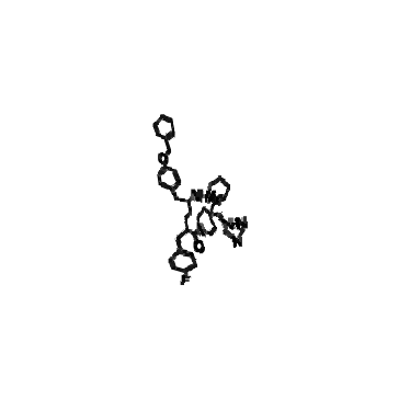 CC(=O)NC(CCC(Cc1ccc(F)cc1)C(=O)N1CCC(Cn2cncn2)(C2CCCCC2)CC1)Cc1ccc(OCc2ccccc2)cc1